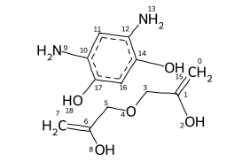 C=C(O)COCC(=C)O.Nc1cc(N)c(O)cc1O